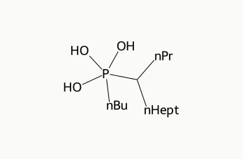 CCCCCCCC(CCC)P(O)(O)(O)CCCC